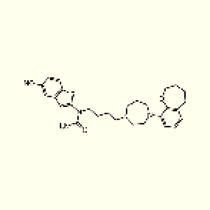 N#Cc1ccc2sc(N(CCCCN3CCCN(c4cccc5c4OCCCC5)CC3)C(N)=O)cc2c1